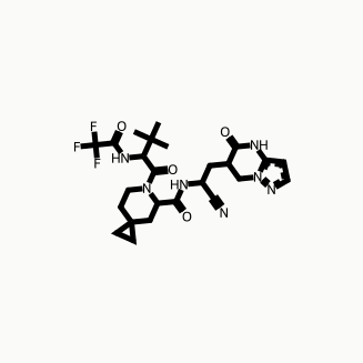 CC(C)(C)C(NC(=O)C(F)(F)F)C(=O)N1CCC2(CC2)CC1C(=O)NC(C#N)CC1Cn2nccc2NC1=O